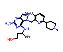 CCC[C@@H](CCO)Nc1nc(N)nc2cnn(Cc3nc(C4CCN(C)CC4)ccc3OC)c12